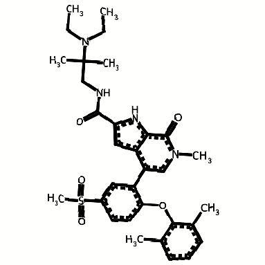 CCN(CC)C(C)(C)CNC(=O)c1cc2c(-c3cc(S(C)(=O)=O)ccc3Oc3c(C)cccc3C)cn(C)c(=O)c2[nH]1